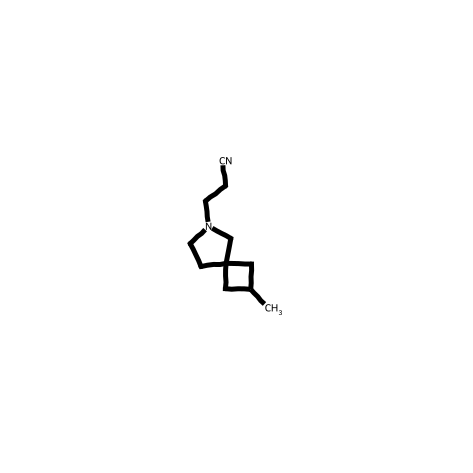 CC1CC2(CCN(CCC#N)C2)C1